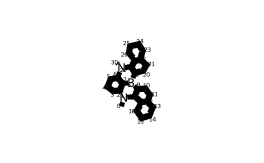 CN1c2cccc3c2B(c2ccc4ccccc4c21)c1ccc2ccccc2c1N3C